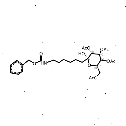 CC(=O)OC[C@H]1O[C@@](O)(CCCCCCNC(=O)OCc2ccccc2)[C@H](OC(C)=O)[C@@H](OC(C)=O)[C@H]1OC(C)=O